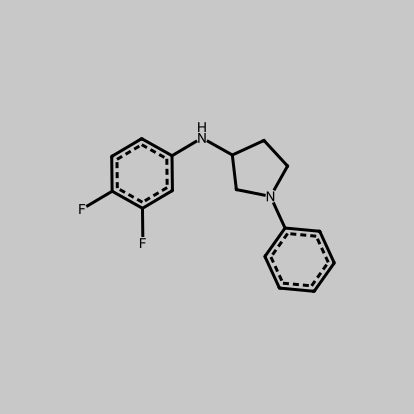 Fc1ccc(NC2CCN(c3ccccc3)C2)cc1F